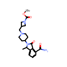 CC1c2cccc(C(N)=O)c2C(=O)N1C1CCN(CC2CN(C(=O)OC(C)(C)C)C2)CC1